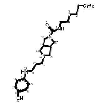 COCCOCCNC(=O)N1CC2CN(CCCNc3ccc(C#N)cc3)CC2C1